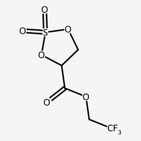 O=C(OCC(F)(F)F)C1COS(=O)(=O)O1